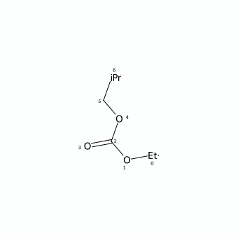 C[CH]OC(=O)OCC(C)C